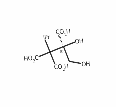 CC(C)C(C(=O)O)(C(=O)O)[C@@](O)(CO)C(=O)O